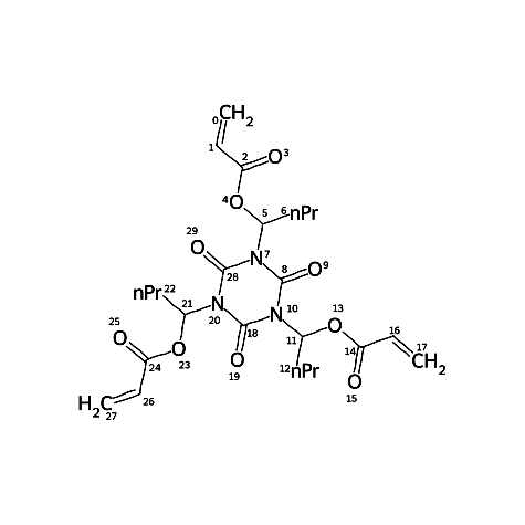 C=CC(=O)OC(CCC)n1c(=O)n(C(CCC)OC(=O)C=C)c(=O)n(C(CCC)OC(=O)C=C)c1=O